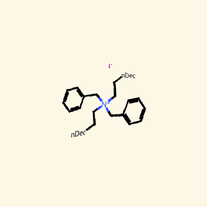 CCCCCCCCCCCC[N+](CCCCCCCCCCCC)(Cc1ccccc1)Cc1ccccc1.[I-]